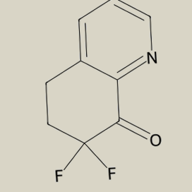 O=C1c2ncccc2CCC1(F)F